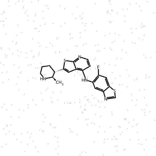 C[C@H]1NCCC[C@@H]1c1cc2c(Nc3cc4ncsc4cc3F)ccnc2s1